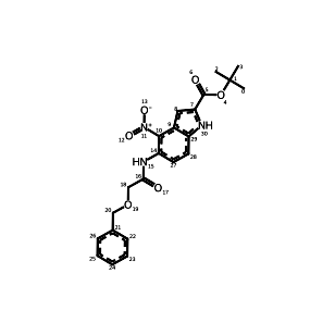 CC(C)(C)OC(=O)c1cc2c([N+](=O)[O-])c(NC(=O)COCc3ccccc3)ccc2[nH]1